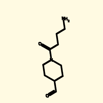 NCCCC(=O)N1CCC(C=O)CC1